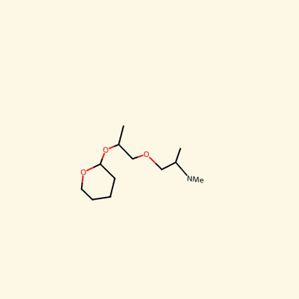 CNC(C)COCC(C)OC1CCCCO1